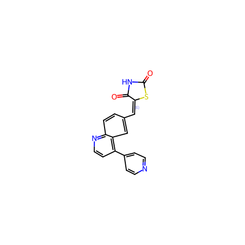 O=C1NC(=O)/C(=C\c2ccc3nccc(-c4ccncc4)c3c2)S1